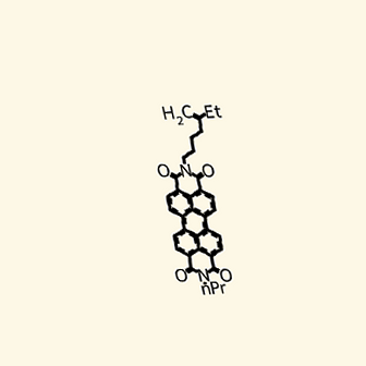 C=C(CC)CCCCN1C(=O)c2ccc3c4ccc5c6c(ccc(c7ccc(c2c37)C1=O)c64)C(=O)N(CCC)C5=O